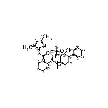 Cc1cc(C)n(CC(=O)N2CCCCC2C(=O)NC2=CC=C(c3ccccc3)C(Cl)(OC(F)(F)F)C2)n1